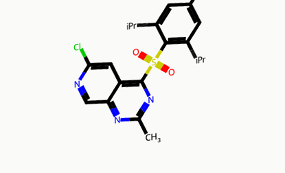 Cc1nc(S(=O)(=O)c2c(C(C)C)cc(C(C)C)cc2C(C)C)c2cc(Cl)ncc2n1